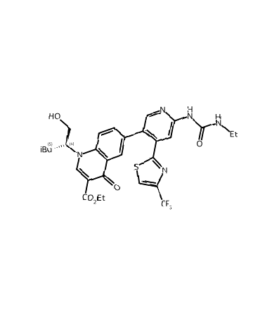 CCNC(=O)Nc1cc(-c2nc(C(F)(F)F)cs2)c(-c2ccc3c(c2)c(=O)c(C(=O)OCC)cn3[C@H](CO)[C@@H](C)CC)cn1